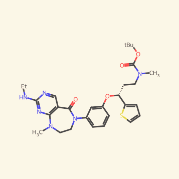 CCNc1ncc2c(n1)N(C)CCN(c1cccc(O[C@H](CCN(C)C(=O)OC(C)(C)C)c3cccs3)c1)C2=O